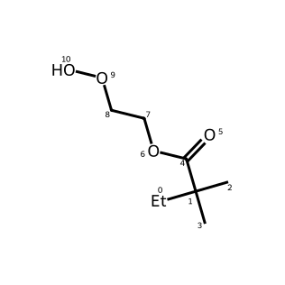 CCC(C)(C)C(=O)OCCOO